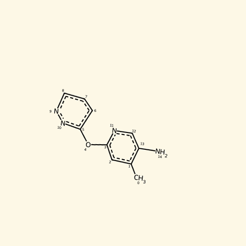 Cc1cc(Oc2cccnn2)ncc1N